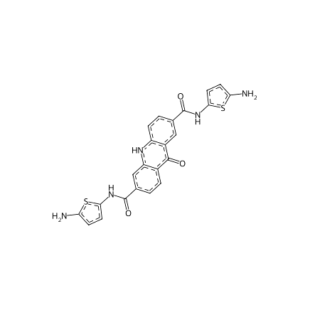 Nc1ccc(NC(=O)c2ccc3c(=O)c4cc(C(=O)Nc5ccc(N)s5)ccc4[nH]c3c2)s1